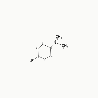 CN(C)C1CCC(F)CC1